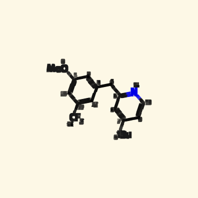 COc1cc(Cc2cc(C(C)(C)C)ccn2)cc(C(F)(F)F)c1